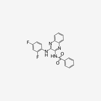 O=S(=O)(Nc1nc2ccccc2nc1Nc1ccc(F)cc1F)c1ccccc1